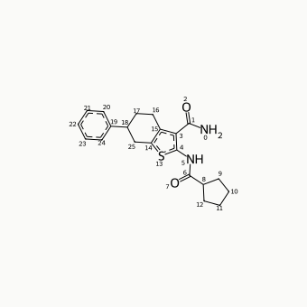 NC(=O)c1c(NC(=O)C2CCCC2)sc2c1CCC(c1ccccc1)C2